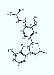 CC/C=C1/c2ccnc(Cl)c2CN1C(C)c1ccc(OCC(F)F)c(OC)c1